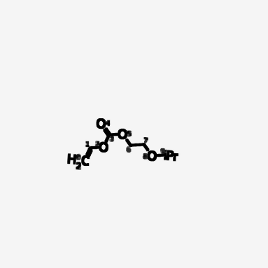 C=COC(=O)OCCOC(C)C